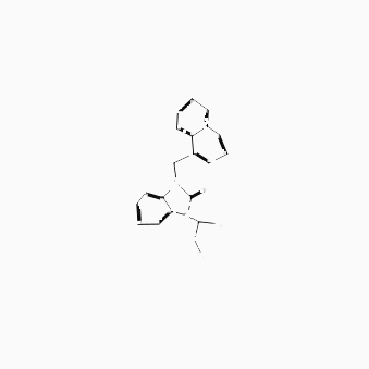 CCCC(CC(=O)O)n1c(=O)n(Cc2cccc3ccccc23)c2ccccc21